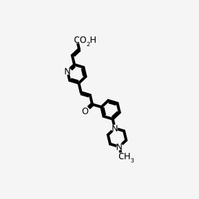 CN1CCN(c2cccc(C(=O)C=Cc3ccc(C=CC(=O)O)nc3)c2)CC1